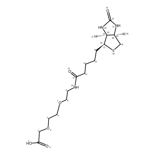 O=C(O)COCCOCCNC(=O)CCCC[C@@H]1SC[C@@H]2NC(=O)N[C@@H]21